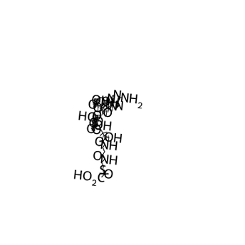 CC(C)(COP(=O)(O)OP(=O)(O)OC[C@H]1O[C@@H](n2cnc3c(N)ncnc32)[C@H](O)[C@@H]1OP(=O)(O)O)[C@@H](O)C(=O)NCCC(=O)NCCSC(=O)C(=O)O